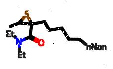 CCCCCCCCCCCCCCC1(C(=O)N(CC)CC)SC1C